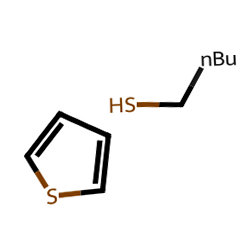 CCCCCS.c1ccsc1